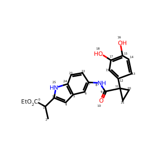 CCOC(=O)C(C)c1cc2cc(NC(=O)C3(c4ccc(O)c(O)c4)CC3)ccc2[nH]1